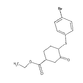 CCOC(=O)C1CCC(Sc2ccc(Br)cc2)C(=O)C1